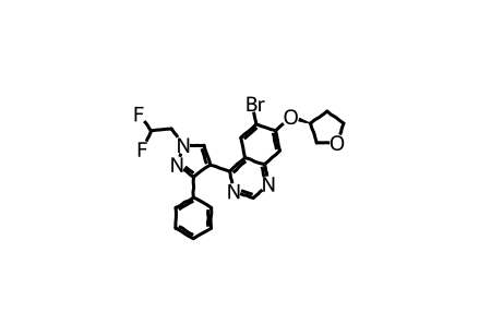 FC(F)Cn1cc(-c2ncnc3cc(O[C@H]4CCOC4)c(Br)cc23)c(-c2ccccc2)n1